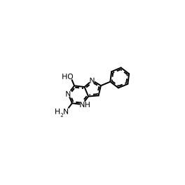 Nc1nc(O)c2nc(-c3ccccc3)cc-2[nH]1